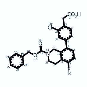 O=C(O)Cc1ccc(-c2ccc(F)c3c2CN(C(=O)OCc2ccccc2)CC3)cc1Cl